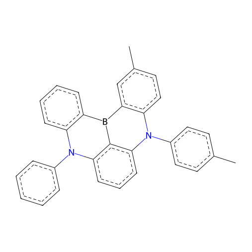 Cc1ccc(N2c3ccc(C)cc3B3c4ccccc4N(c4ccccc4)c4cccc2c43)cc1